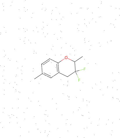 Cc1ccc2c(c1)CC(F)(F)C(C)O2